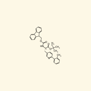 Cc1ccccc1-c1ccc(C[C@H](NC(=O)OCC2c3ccccc3-c3ccccc32)C(=O)OC(C)(C)C)cn1